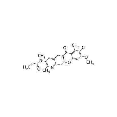 C=CC(=O)N(C)c1cc2c(nc1C)CCN(C(=O)c1c(O)cc(OC)c(Cl)c1C)C2